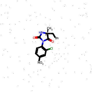 CC(C)C[C@@]1(C)NC(=O)N(c2ccc([N+](=O)[O-])cc2Cl)C1=O